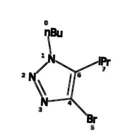 CCCCn1nnc(Br)c1C(C)C